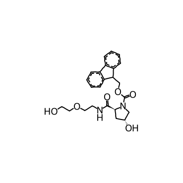 O=C(NCCOCCO)[C@@H]1C[C@@H](O)CN1C(=O)OCC1c2ccccc2-c2ccccc21